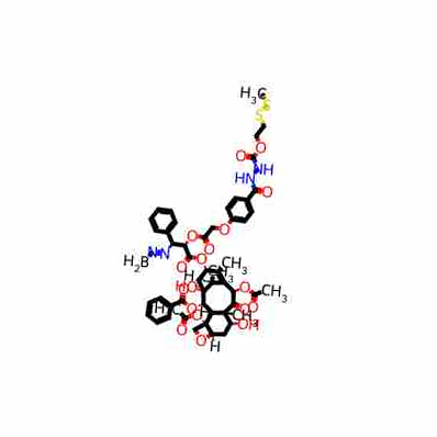 BN=N[C@@H](c1ccccc1)[C@@H](OC(=O)COc1ccc(C(=O)NNC(=O)OCCSSC)cc1)C(=O)O[C@H]1C[C@@]2(O)[C@@H](OC(=O)c3ccccc3)[C@@H]3[C@]4(OC(C)=O)CO[C@@H]4C[C@H](O)[C@@]3(C)C(=O)[C@H](OC(C)=O)C(=C1C)C2(C)C